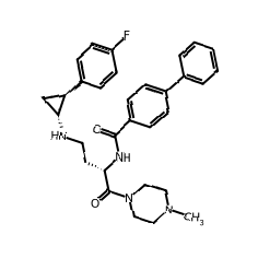 CN1CCN(C(=O)[C@H](CCN[C@@H]2C[C@H]2c2ccc(F)cc2)NC(=O)c2ccc(-c3ccccc3)cc2)CC1